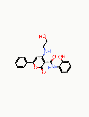 O=C(Nc1ccccc1O)c1c(NCCO)cc(-c2ccccc2)oc1=O